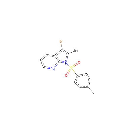 [2H]c1c(Br)c2cccnc2n1S(=O)(=O)c1ccc(C)cc1